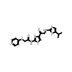 CC(C)c1cnc(NCC(=O)c2csc(NC(=O)CSc3ccncc3)n2)s1